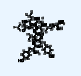 CC(C)C[C@H](NC(=O)[C@@H](NC(=O)[C@H](C)NC(=O)[C@H](CCCNC(=N)N)NC(=O)[C@@H](NC(=O)[C@H](Cc1ccc(O)cc1)NC(=O)[C@@H](N)Cc1ccc(O)cc1)C(C)C)C(C)C)C(=O)O